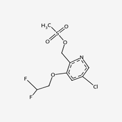 CS(=O)(=O)OCc1ncc(Cl)cc1OCC(F)F